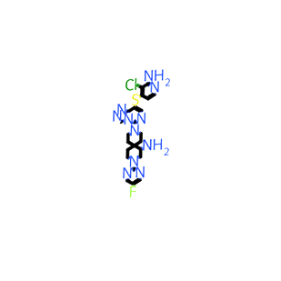 Nc1nccc(Sc2cnc(N3CCC4(CCN(c5ncc(F)cn5)CC4N)CC3)n3cnnc23)c1Cl